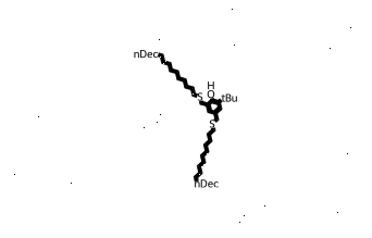 CCCCCCCCCCCCCCCCCCCCSCc1cc(CSCCCCCCCCCCCCCCCCCCCC)c(O)c(C(C)(C)C)c1